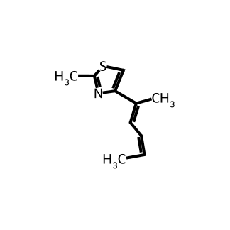 C/C=C\C=C(/C)c1csc(C)n1